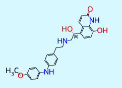 COc1ccc(Nc2ccc(CCNC[C@H](O)c3ccc(O)c4[nH]c(=O)ccc34)cc2)cc1